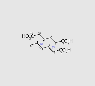 C/C=C/C=C/C(=O)O.O=C(O)CCCCC(=O)O